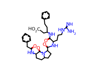 N=C(N)NCCCC(NC(=O)C1CCC2CCC(NC(=O)Cc3ccccc3)C(=O)N21)C(=O)NC(CCc1ccccc1)CC(=O)O